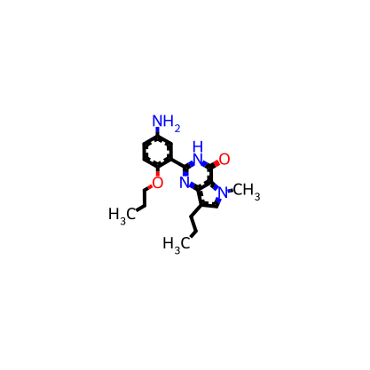 CCCOc1ccc(N)cc1-c1nc2c(CCC)cn(C)c2c(=O)[nH]1